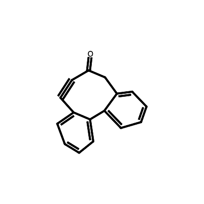 O=C1C#Cc2ccccc2-c2ccccc2C1